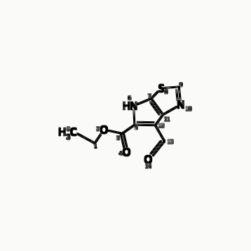 CCOC(=O)c1[nH]c2scnc2c1C=O